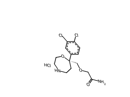 Cl.NC(=O)COC[C@]1(c2ccc(Cl)c(Cl)c2)CCNCCO1